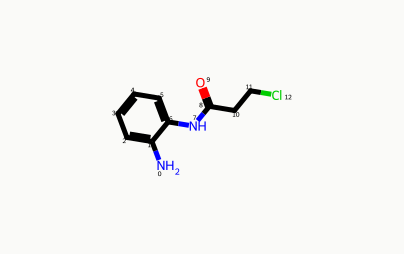 Nc1ccccc1NC(=O)CCCl